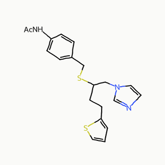 CC(=O)Nc1ccc(CSC(CCc2cccs2)Cn2ccnc2)cc1